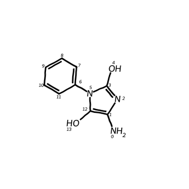 Nc1nc(O)n(-c2ccccc2)c1O